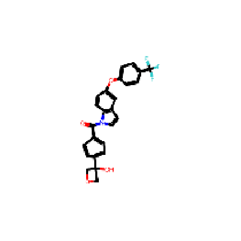 O=C(c1ccc(C2(O)COC2)cc1)n1ccc2cc(Oc3ccc(C(F)(F)F)cc3)ccc21